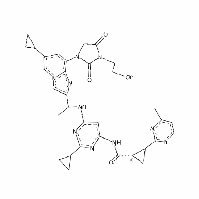 Cc1ccnc(C2C[C@@H]2C(=O)Nc2cc(NC(C)c3cn4cc(C5CC5)cc(N5CC(=O)N(CCO)C5=O)c4n3)nc(C3CC3)n2)n1